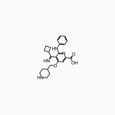 N=C(c1c(OCC2CCNCC2)cc(C(=O)O)nc1Nc1ccccc1)C1CCC1